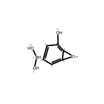 OBO.Oc1cccc2c1O2